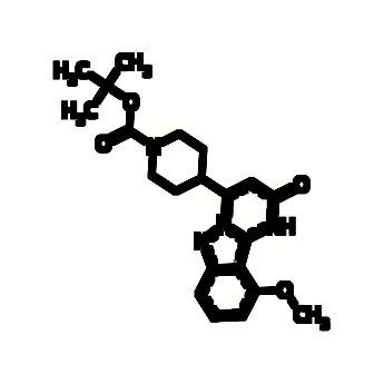 COc1cccc2nn3c(C4CCN(C(=O)OC(C)(C)C)CC4)cc(=O)[nH]c3c12